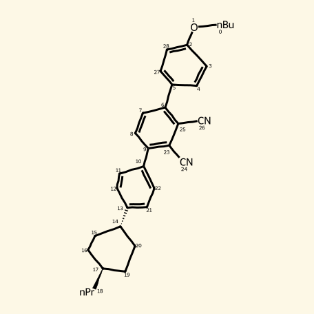 CCCCOc1ccc(-c2ccc(-c3ccc([C@H]4CC[C@H](CCC)CC4)cc3)c(C#N)c2C#N)cc1